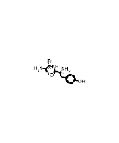 CC(C)[C@H](NC(=O)[C@@H](N)Cc1ccc(O)cc1)C(N)=O